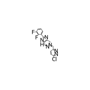 Fc1cccc(-c2nc3c([nH]2)C=NN(Cc2ccc(Cl)nn2)C3)c1F